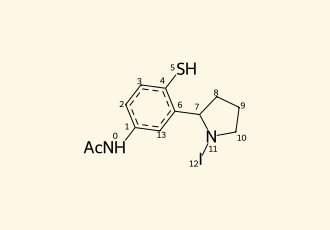 CC(=O)Nc1ccc(S)c(C2CCCN2I)c1